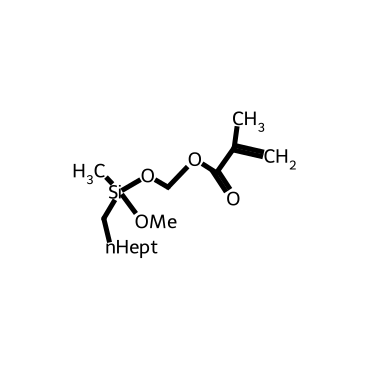 C=C(C)C(=O)OCO[Si](C)(CCCCCCCC)OC